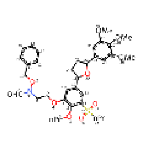 CCCOc1c(OCCN(C=O)OCc2ccccc2)cc(C2CCC(c3cc(OC)c(OC)c(OC)c3)O2)cc1S(=O)(=O)CCC